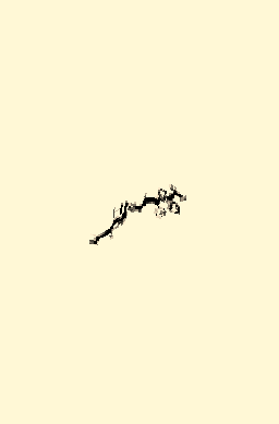 CCCCCNCCC(=O)OC(=O)CC